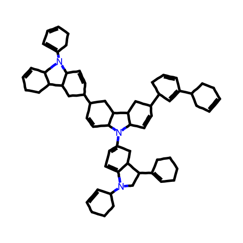 C1=CCCC(N2C3C=CCCC3C3CC(C4C=CC5C(C4)C4CC(C6C=C(C7CC=CCC7)C=CC6)C=CC4N5C4=CC=C5C(C4)C(C4=CCCCC4)CN5C4C=CCCC4)C=CC32)=C1